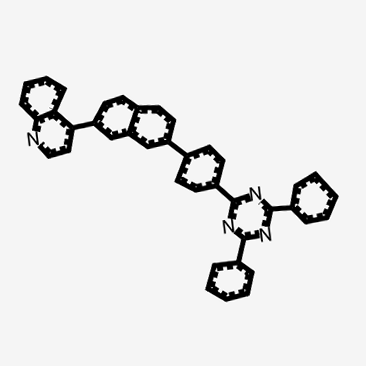 c1ccc(-c2nc(-c3ccccc3)nc(-c3ccc(-c4ccc5ccc(-c6ccnc7ccccc67)cc5c4)cc3)n2)cc1